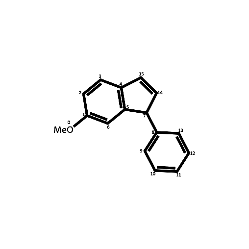 COc1ccc2c(c1)C(c1ccccc1)C=C2